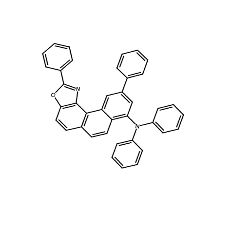 c1ccc(-c2cc(N(c3ccccc3)c3ccccc3)c3ccc4ccc5oc(-c6ccccc6)nc5c4c3c2)cc1